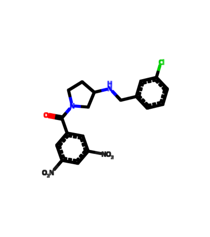 O=C(c1cc([N+](=O)[O-])cc([N+](=O)[O-])c1)N1CCC(NCc2cccc(Cl)c2)C1